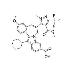 COC(=O)c1c(C(F)(F)F)nn(C)c1C1=Cc2cc(OC)ccc2-c2c(C3CCCCC3)c3ccc(C(=O)O)cc3n2C1